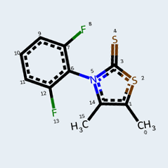 Cc1sc(=S)n(-c2c(F)cccc2F)c1C